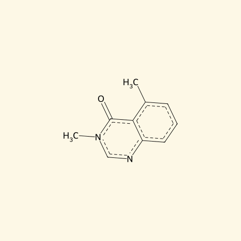 Cc1cccc2ncn(C)c(=O)c12